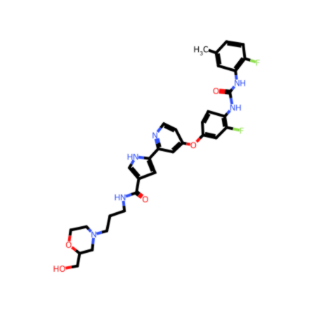 Cc1ccc(F)c(NC(=O)Nc2ccc(Oc3ccnc(-c4cc(C(=O)NCCCN5CCOC(CO)C5)c[nH]4)c3)cc2F)c1